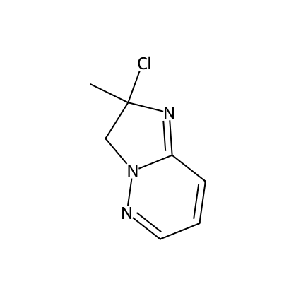 CC1(Cl)CN2N=CC=CC2=N1